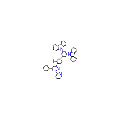 Ic1cc(-c2cc(-n3c4ccccc4c4ccccc43)cc(-n3c4ccccc4c4ccccc43)c2)ccc1-c1cc(-c2ccccc2)cc(-c2ccccn2)n1